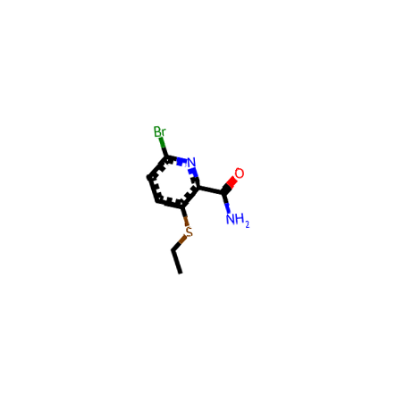 CCSc1ccc(Br)nc1C(N)=O